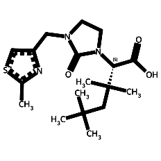 Cc1nc(CN2CCN([C@H](C(=O)O)C(C)(C)CC(C)(C)C)C2=O)cs1